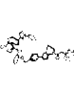 CN(C)CC(=O)N1CCc2cc(-c3ccc(CO[C@H]4CCC[C@@H]4NC(=O)c4cc(-c5cnn(C)c5)cnc4N)cc3)ccc21